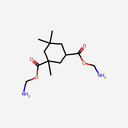 CC1(C)CC(C(=O)OCN)CC(C)(C(=O)OCN)C1